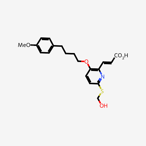 COc1ccc(CCCCOc2ccc(SCO)nc2C=CC(=O)O)cc1